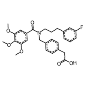 COc1cc(C(=O)N(CCCc2cccc(F)c2)Cc2ccc(CC(=O)O)cc2)cc(OC)c1OC